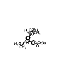 CN(C)CCn1nc(C2=CCN(C(=O)OC(C)(C)C)CC2)c2cc(B3OC(C)(C)C(C)(C)O3)ccc21